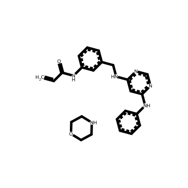 C1COCCN1.C=CC(=O)Nc1cccc(CNc2cc(Nc3ccccc3)ncn2)c1